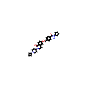 O=C(NC1CCCC1)c1ccc(COc2ccc3c(c2)CCN(C2CCN(C4CCC4)CC2)C3=O)cc1